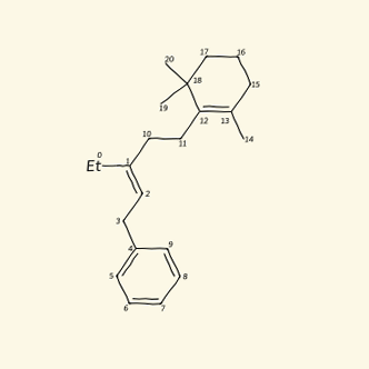 CC/C(=C\Cc1ccccc1)CCC1=C(C)CCCC1(C)C